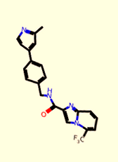 Cc1cc(-c2ccc(CNC(=O)c3cn4c(C(F)(F)F)cccc4n3)cc2)ccn1